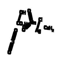 O=C(O)O.[CaH2].[Cl][Ag].[O]=[Mn]=[O].[O]=[Ti]=[O]